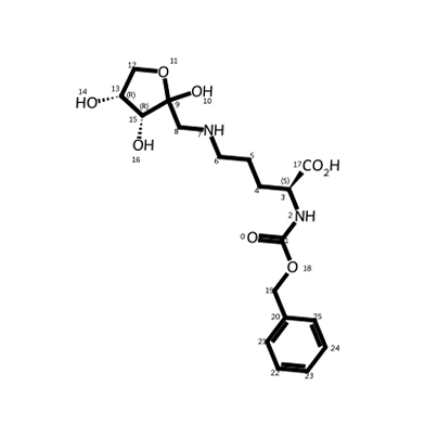 O=C(N[C@@H](CCCNCC1(O)OC[C@@H](O)[C@H]1O)C(=O)O)OCc1ccccc1